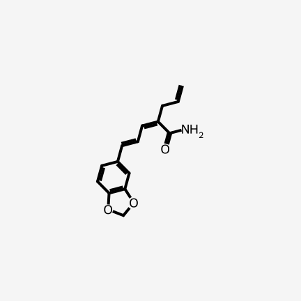 C=CCC(=CC=Cc1ccc2c(c1)OCO2)C(N)=O